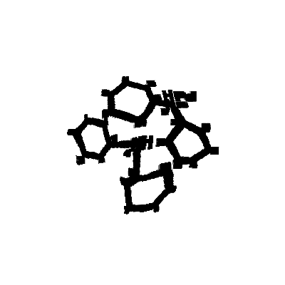 C1CCC(NC2CCCCC2)CC1.C1CCC(NC2CCCCC2)CC1.[Pd]